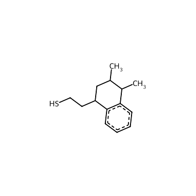 CC1CC(CCS)c2ccccc2C1C